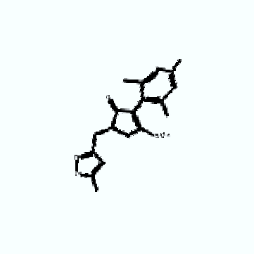 COC1=C(c2c(C)cc(C)cc2C)C(=O)C(Cc2cc(C)on2)C1